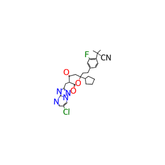 CC(C)(C#N)c1ccc(CCC2(C3CCCC3)CC(=O)C(Cc3nc4ncc(Cl)cn4n3)C(=O)O2)cc1F